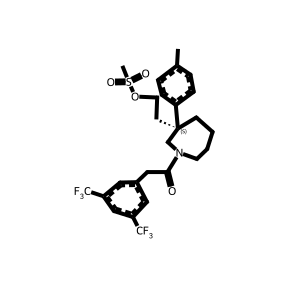 Cc1ccc([C@@]2(CCOS(C)(=O)=O)CCCCN(C(=O)Cc3cc(C(F)(F)F)cc(C(F)(F)F)c3)C2)cc1